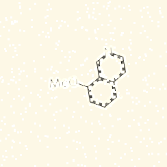 COc1cc[c]c2ccncc12